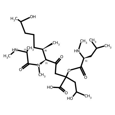 CN[C@@H](C)C(=O)N(C)[C@H](C(=O)CC(CC(C)O)(OC(=O)[C@H](CC(C)C)NC)C(=O)O)[C@H](C)CCCC(C)O